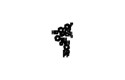 CC1(C)CN(c2ccccc2NC(=O)Nc2ccc(OC(F)(F)F)cc2)c2c(O)ccc(-c3ccc(F)nc3)c21